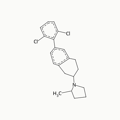 CC1CCCN1C1CCc2cc(-c3c(Cl)cccc3Cl)ccc2C1